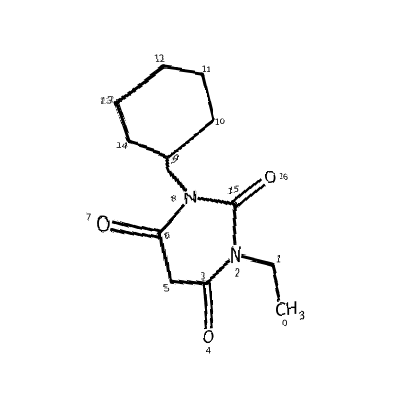 CCN1C(=O)CC(=O)N(C2CCCCC2)C1=O